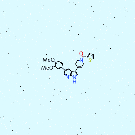 COc1ccc(-c2cnc3[nH]cc(C4=CCN(C(=O)c5cccs5)CC4)c3c2)cc1OC